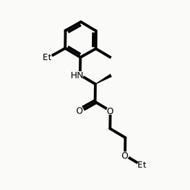 CCOCCOC(=O)[C@H](C)Nc1c(C)cccc1CC